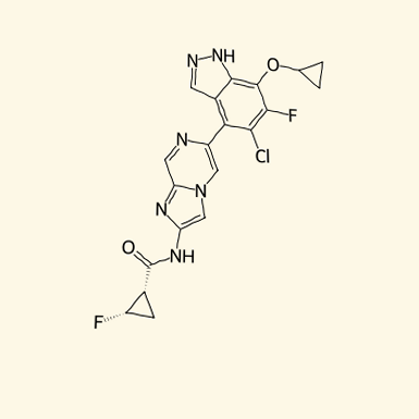 O=C(Nc1cn2cc(-c3c(Cl)c(F)c(OC4CC4)c4[nH]ncc34)ncc2n1)[C@@H]1C[C@@H]1F